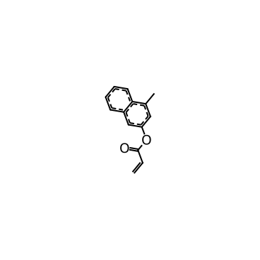 C=CC(=O)Oc1cc(C)c2ccccc2c1